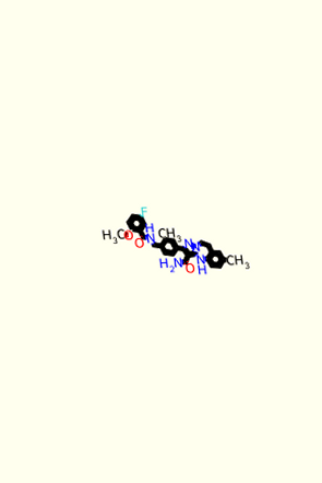 COc1ccc(F)cc1C(=O)NCC1C=CC(c2nn3c(c2C(N)=O)Nc2ccc(C)cc2CC3)=CC1C